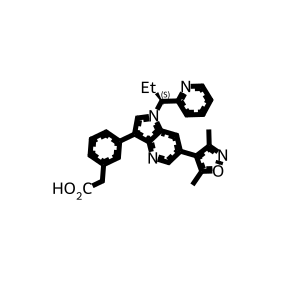 CC[C@@H](c1ccccn1)n1cc(-c2cccc(CC(=O)O)c2)c2ncc(-c3c(C)noc3C)cc21